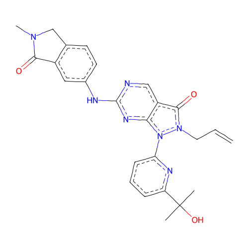 C=CCn1c(=O)c2cnc(Nc3ccc4c(c3)C(=O)N(C)C4)nc2n1-c1cccc(C(C)(C)O)n1